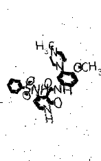 COc1ccc(NC(=O)c2c(NS(=O)(=O)c3ccccc3)cc[nH]c2=O)cc1N1CCN(C)CC1